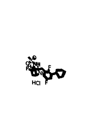 CS(=O)(=O)N[C@@H]1[C@H](Cc2cc(F)cc(-c3ccccc3)c2F)NC2CC1(F)C2.Cl